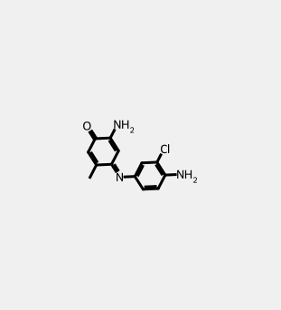 CC1=CC(=O)C(N)=CC1=Nc1ccc(N)c(Cl)c1